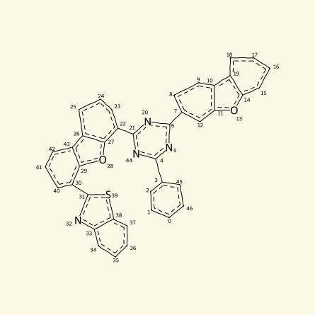 c1ccc(-c2nc(-c3ccc4c(c3)oc3ccccc34)nc(-c3cccc4c3oc3c(-c5nc6ccccc6s5)cccc34)n2)cc1